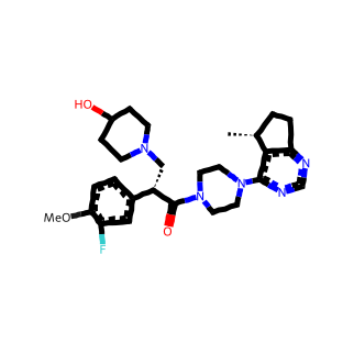 COc1ccc([C@H](CN2CCC(O)CC2)C(=O)N2CCN(c3ncnc4c3[C@H](C)CC4)CC2)cc1F